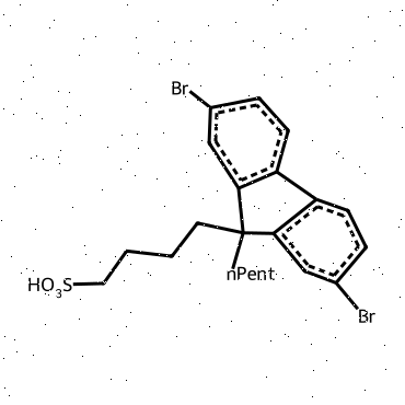 CCCCCC1(CCCCS(=O)(=O)O)c2cc(Br)ccc2-c2ccc(Br)cc21